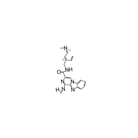 C=C/C(=C\C=N/C)CNC(=O)c1cn2c(nc3ccccc32)c(N)n1